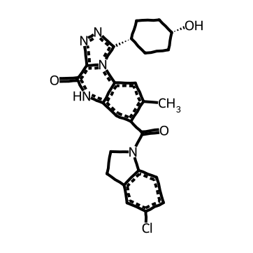 Cc1cc2c(cc1C(=O)N1CCc3cc(Cl)ccc31)[nH]c(=O)c1nnc([C@H]3CC[C@@H](O)CC3)n12